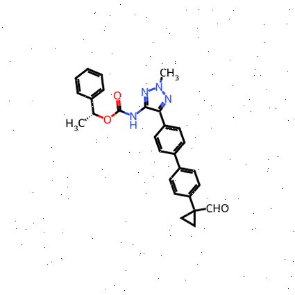 C[C@@H](OC(=O)Nc1nn(C)nc1-c1ccc(-c2ccc(C3(C=O)CC3)cc2)cc1)c1ccccc1